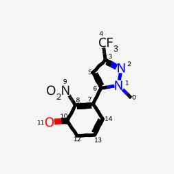 Cn1nc(C(F)(F)F)cc1C1=C([N+](=O)[O-])C(=O)CC=C1